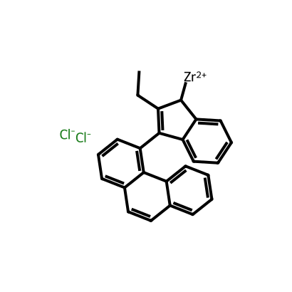 CCC1=C(c2cccc3ccc4ccccc4c23)c2ccccc2[CH]1[Zr+2].[Cl-].[Cl-]